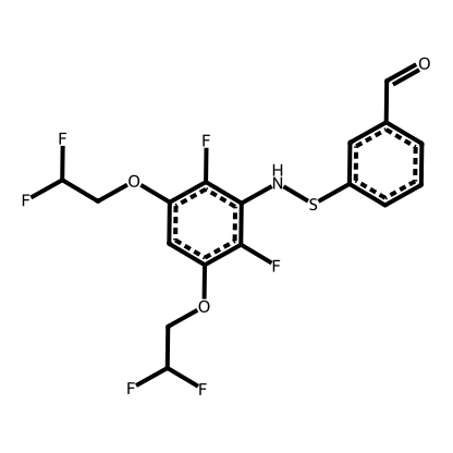 O=Cc1cccc(SNc2c(F)c(OCC(F)F)cc(OCC(F)F)c2F)c1